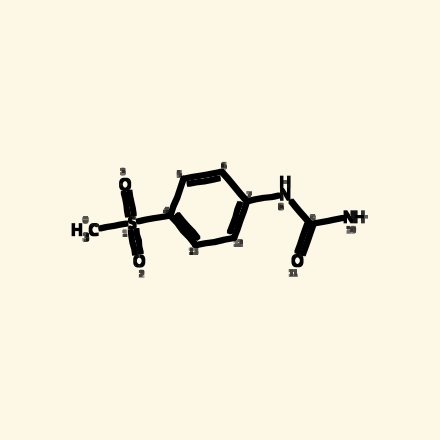 CS(=O)(=O)c1ccc(NC([NH])=O)cc1